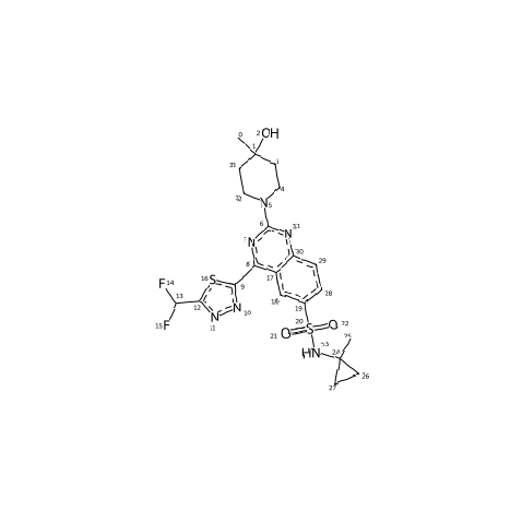 CC1(O)CCN(c2nc(-c3nnc(C(F)F)s3)c3cc(S(=O)(=O)NC4(C)CC4)ccc3n2)CC1